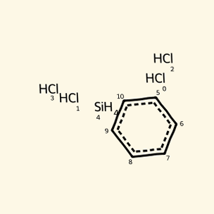 Cl.Cl.Cl.Cl.[SiH4].c1ccccc1